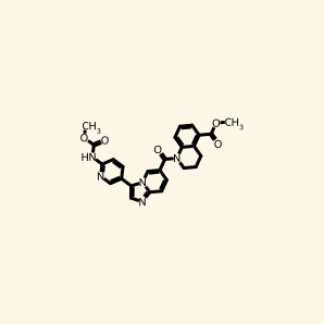 COC(=O)Nc1ccc(-c2cnc3ccc(C(=O)N4CCCc5c(C(=O)OC)cccc54)cn23)cn1